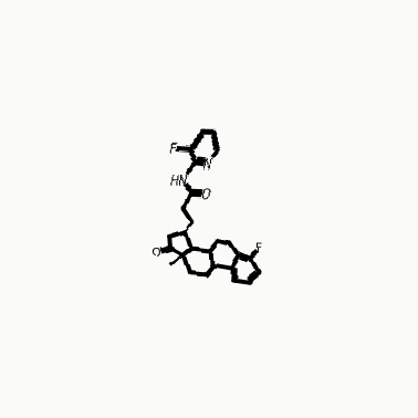 C[C@]12CCC3c4cccc(F)c4CCC3C1[C@H](CCC(=O)Nc1ncccc1F)CC2=O